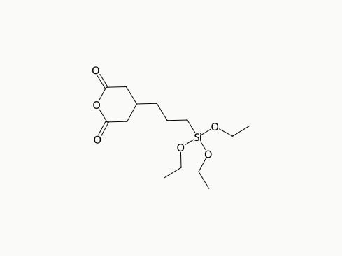 CCO[Si](CCCC1CC(=O)OC(=O)C1)(OCC)OCC